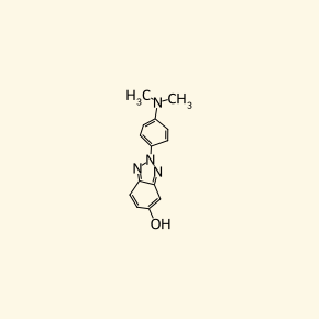 CN(C)c1ccc(-n2nc3ccc(O)cc3n2)cc1